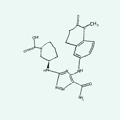 CN1C(=O)CCc2cc(Nc3nc(N[C@@H]4CCCN(C(=O)O)C4)nnc3C(N)=O)ccc21